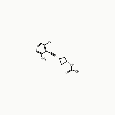 Nc1nccc(Br)c1C#C[C@H]1C[C@@H](NC(=O)O)C1